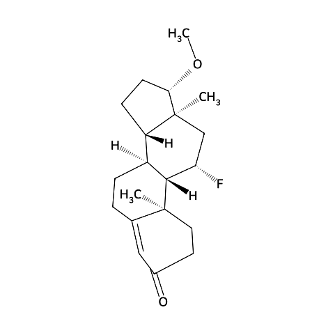 CO[C@H]1CC[C@H]2[C@@H]3CCC4=CC(=O)CC[C@]4(C)[C@H]3[C@@H](F)C[C@]12C